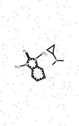 Cn1[c](=[Pt])n(C)c2ccccc21.IN(I)C1CC1